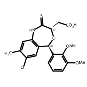 COc1cccc([C@@H]2O[C@@H](CC(=O)O)C(=S)Nc3cc(C)c(Cl)cc32)c1OC